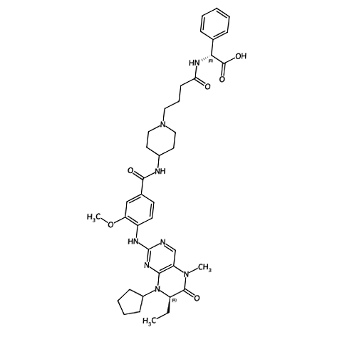 CC[C@@H]1C(=O)N(C)c2cnc(Nc3ccc(C(=O)NC4CCN(CCCC(=O)N[C@@H](C(=O)O)c5ccccc5)CC4)cc3OC)nc2N1C1CCCC1